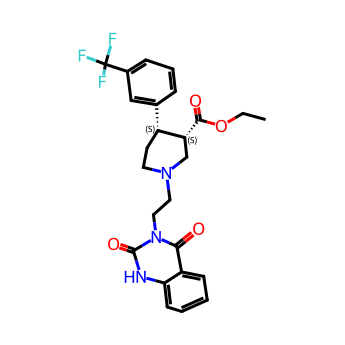 CCOC(=O)[C@@H]1CN(CCn2c(=O)[nH]c3ccccc3c2=O)CC[C@@H]1c1cccc(C(F)(F)F)c1